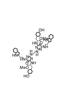 COC(=O)[C@H](Cc1ccc(O)cc1)Nc1nc(NCCNc2nc(NCCc3cc4ccccc4[nH]3)nc(N[C@@H](Cc3ccc(O)cc3)C(=O)OC)n2)nc(NCCc2cc3ccccc3[nH]2)n1